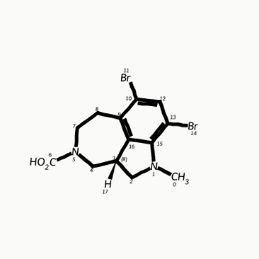 CN1C[C@@H]2CN(C(=O)O)CCc3c(Br)cc(Br)c1c32